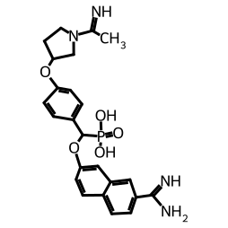 CC(=N)N1CCC(Oc2ccc(C(Oc3ccc4ccc(C(=N)N)cc4c3)P(=O)(O)O)cc2)C1